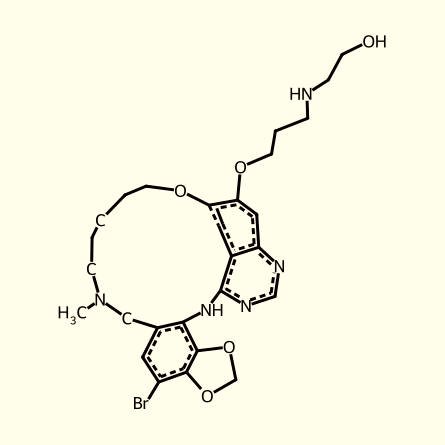 CN1CCCCCOc2cc3c(ncnc3cc2OCCCNCCO)Nc2c(cc(Br)c3c2OCO3)C1